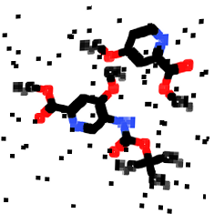 COC(=O)c1cc(OC)c(NC(=O)OC(C)(C)C)cn1.COC(=O)c1cc(OC)ccn1